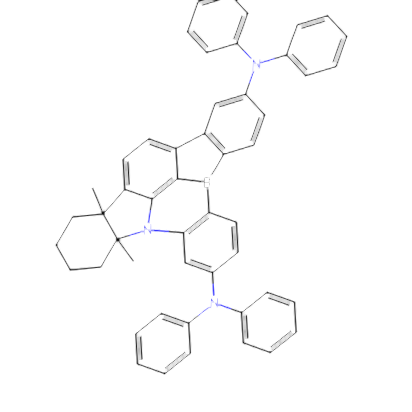 CC12CCCCC1(C)N1c3cc(N(c4ccccc4)c4ccccc4)ccc3B3c4ccc(N(c5ccccc5)c5ccccc5)cc4-c4ccc2c1c43